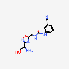 N#Cc1cccc(NC(=O)NCc2nc(C(N)CO)no2)c1